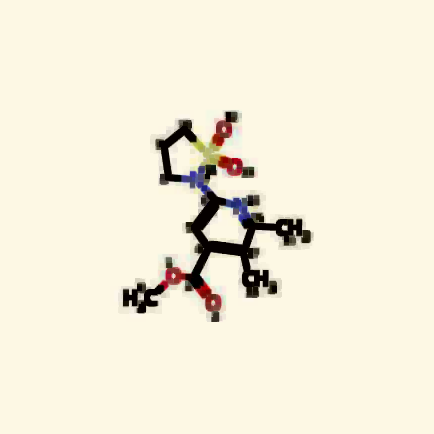 COC(=O)c1cc(N2CCCS2(=O)=O)nc(C)c1C